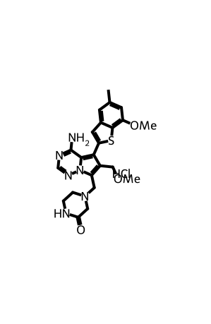 COCc1c(-c2cc3cc(C)cc(OC)c3s2)c2c(N)ncnn2c1CN1CCNC(=O)C1.Cl